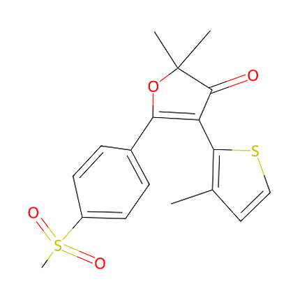 Cc1ccsc1C1=C(c2ccc(S(C)(=O)=O)cc2)OC(C)(C)C1=O